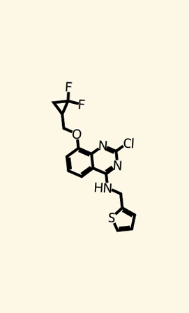 FC1(F)CC1COc1cccc2c(NCc3cccs3)nc(Cl)nc12